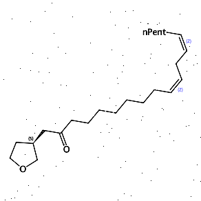 CCCCC/C=C\C/C=C\CCCCCCCC(=O)C[C@@H]1CCOC1